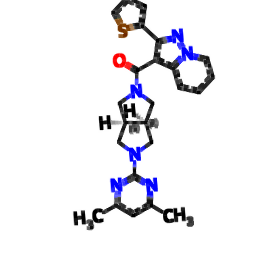 Cc1cc(C)nc(N2C[C@H]3CN(C(=O)c4c(-c5cccs5)nn5ccccc45)C[C@H]3C2)n1